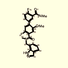 CNC(=O)c1cc(-c2cc(F)c(C(=O)N(C)Cc3cccc4cn[nH]c34)cc2OC)ccc1F